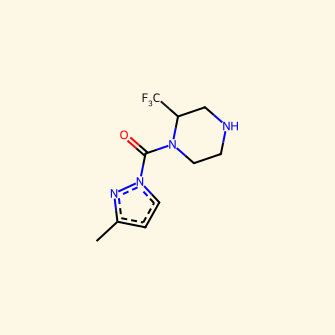 Cc1ccn(C(=O)N2CCNCC2C(F)(F)F)n1